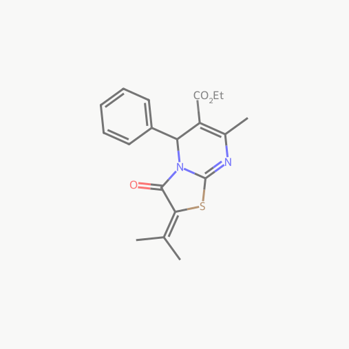 CCOC(=O)C1=C(C)N=c2sc(=C(C)C)c(=O)n2C1c1ccccc1